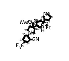 CCOC1(c2cccnc2)C=CC(C2(C(=O)OC)CCN(c3ccc(C(F)(F)F)cc3C#N)CC2)=CN1